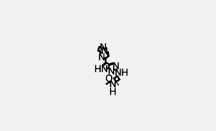 CC(=O)N[C@]1(C)C[C@@H](Nc2ncc3c(-c4ccn5nccc5n4)c[nH]c3n2)C1